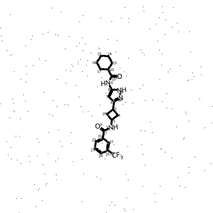 O=C(NC1CC(c2cc(NC(=O)C3CCCCC3)[nH]n2)C1)c1cccc(C(F)(F)F)c1